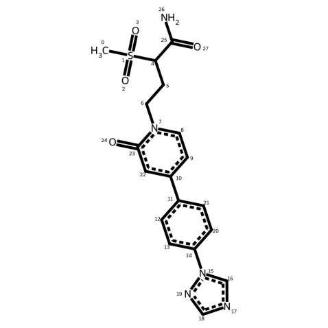 CS(=O)(=O)C(CCn1ccc(-c2ccc(-n3cncn3)cc2)cc1=O)C(N)=O